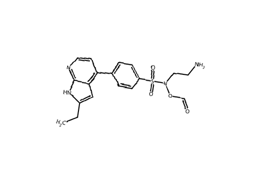 CCc1cc2c(-c3ccc(S(=O)(=O)N(CCN)OC=O)cc3)ccnc2[nH]1